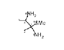 CSC(C)(N)C(C)N